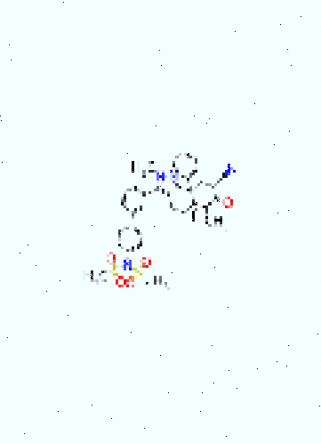 C[C@@H]1C(=O)C(C#N)C[C@@]2(c3ccccc3)c3nn(C)c(-c4cccc(-c5ccc(N(S(C)(=O)=O)S(C)(=O)=O)cc5)c4)c3CC[C@@H]12